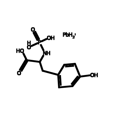 O=C(O)C(Cc1ccc(O)cc1)NP(=O)(O)O.[PbH2]